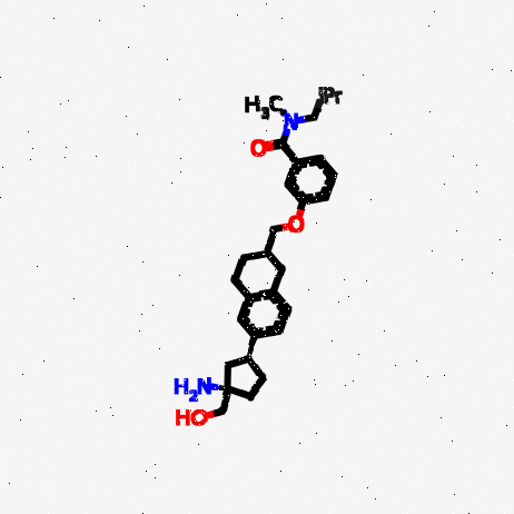 CC(C)CN(C)C(=O)c1cccc(OCC2CCc3cc([C@H]4CC[C@](N)(CO)C4)ccc3C2)c1